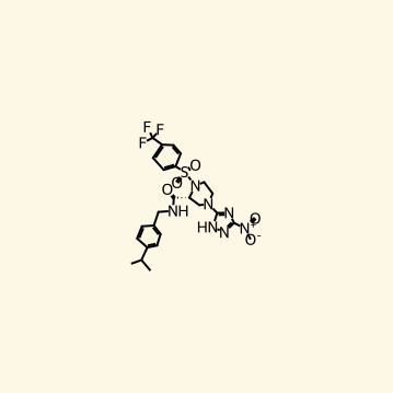 CC(C)c1ccc(CNC(=O)[C@H]2CN(c3nc([N+](=O)[O-])n[nH]3)CCN2S(=O)(=O)c2ccc(C(F)(F)F)cc2)cc1